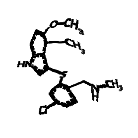 CNCc1ccc(Cl)cc1Sc1c[nH]c2ccc(OC)c(C)c12